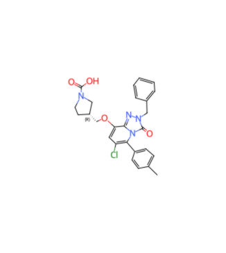 Cc1ccc(-c2c(Cl)cc(OC[C@@H]3CCN(C(=O)O)C3)c3nn(Cc4ccccc4)c(=O)n23)cc1